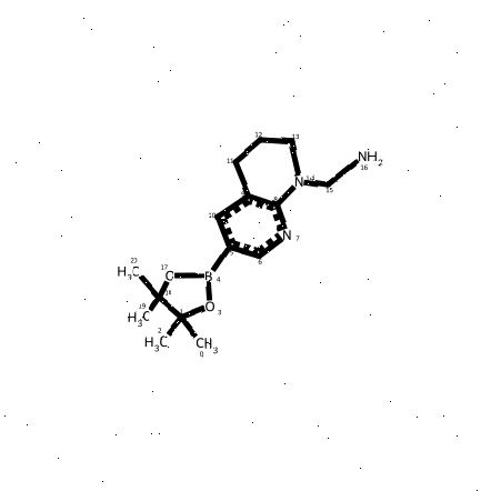 CC1(C)OB(c2cnc3c(c2)CCCN3CN)OC1(C)C